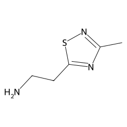 Cc1nsc(CCN)n1